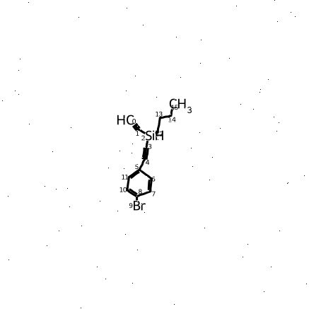 C#C[SiH](C#Cc1ccc(Br)cc1)CCCC